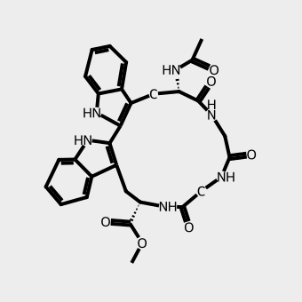 COC(=O)[C@@H]1Cc2c([nH]c3ccccc23)-c2[nH]c3ccccc3c2C[C@H](NC(C)=O)C(=O)NCC(=O)NCC(=O)N1